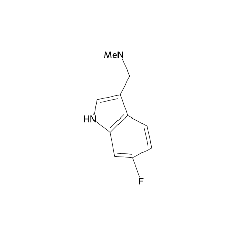 CNCc1c[nH]c2cc(F)ccc12